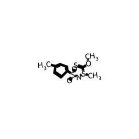 COC(=S)S(C)=NS(=O)(=O)c1ccc(C)cc1